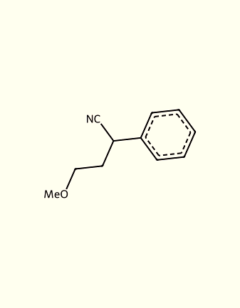 COCCC(C#N)c1ccccc1